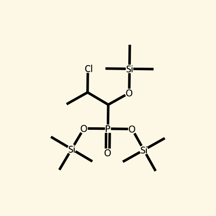 CC(Cl)C(O[Si](C)(C)C)P(=O)(O[Si](C)(C)C)O[Si](C)(C)C